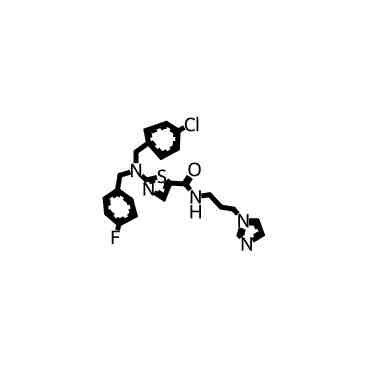 O=C(NCCCn1ccnc1)c1cnc(N(Cc2ccc(F)cc2)Cc2ccc(Cl)cc2)s1